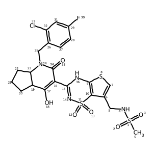 CS(=O)(=O)NCc1csc2c1S(=O)(=O)N=C(C1=C(O)C3CCCC3N(Cc3ccc(F)cc3Cl)C1=O)N2